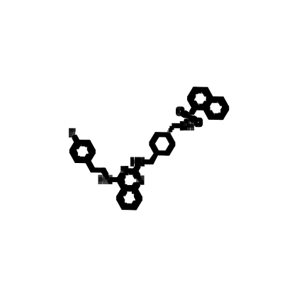 O=S(=O)(NC[C@H]1CC[C@H](CNc2nc(NCCc3ccc(F)cc3)c3ccccc3n2)CC1)c1cccc2ccccc12